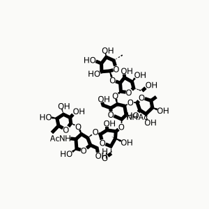 CC(=O)NC1[C@H](OC2C(O)[C@H](O[C@@H]3C(CO)O[C@@H](O)C(NC(C)=O)[C@H]3O[C@@H]3OC(C)[C@@H](O)[C@H](O)C3O)O[C@@H](CO)[C@@H]2O)OC(CO)[C@@H](O[C@@H]2O[C@@H](CO)[C@H](O)C(O)C2O[C@@H]2O[C@@H](C)[C@@H](O)C(O)C2O)[C@@H]1O[C@@H]1OC(C)[C@@H](O)[C@H](O)C1O